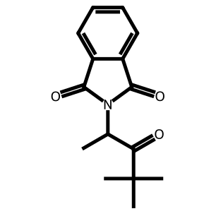 CC(C(=O)C(C)(C)C)N1C(=O)c2ccccc2C1=O